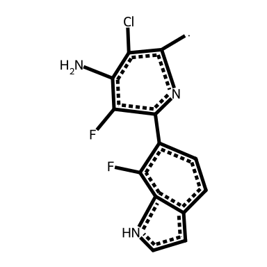 [CH2]c1nc(-c2ccc3cc[nH]c3c2F)c(F)c(N)c1Cl